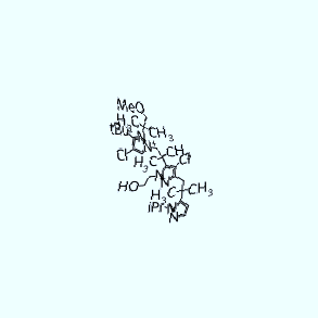 COCC(C)(C)n1c(C(C)(C)C)c(Cl)c[n+]1CC(C)(C)c1c(Cl)c(CC(C)(C)c2ccnn2C(C)C)nn1CCO